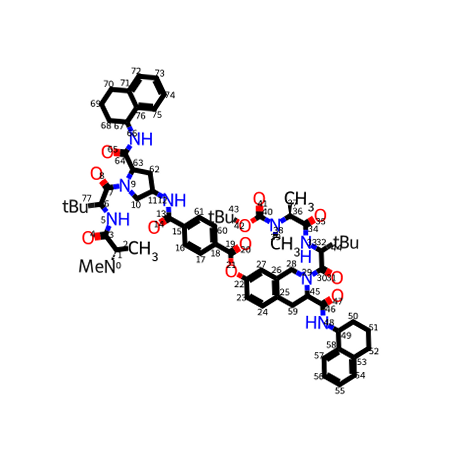 CN[C@@H](C)C(=O)NC(C(=O)N1CC(NC(=O)c2ccc(C(=O)Oc3ccc4c(c3)CN(C(=O)C(NC(=O)[C@H](C)N(C)C(=O)OC(C)(C)C)C(C)(C)C)C(C(=O)NC3CCCc5ccccc53)C4)cc2)CC1C(=O)NC1CCCc2ccccc21)C(C)(C)C